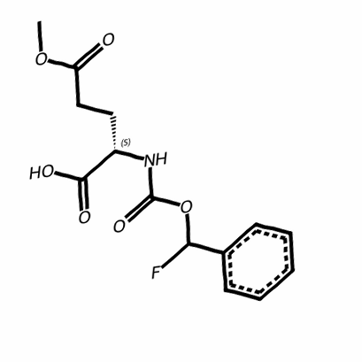 COC(=O)CC[C@H](NC(=O)OC(F)c1ccccc1)C(=O)O